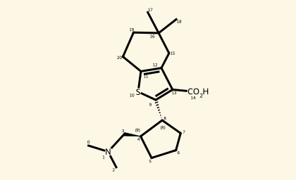 CN(C)C[C@@H]1CCC[C@H]1c1sc2c(c1C(=O)O)CC(C)(C)CC2